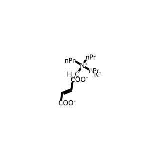 CCC[N+](C)(CCC)CCC.O=C([O-])C=CC(=O)[O-].[K+]